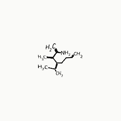 C=CCCC(C(=C)C(=C)N)=C(C)C